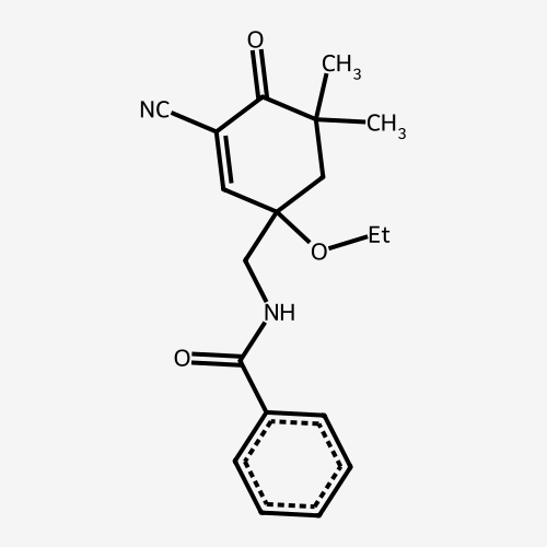 CCOC1(CNC(=O)c2ccccc2)C=C(C#N)C(=O)C(C)(C)C1